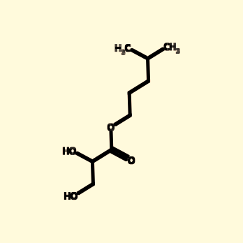 CC(C)CCCOC(=O)C(O)CO